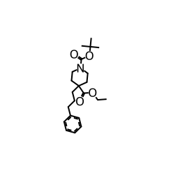 CCOC(=O)C1(CCCc2ccccc2)CCN(C(=O)OC(C)(C)C)CC1